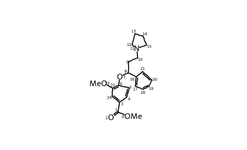 COC(=O)c1ccc(OC(CCN2CCCC2)c2ccccc2)c(OC)c1